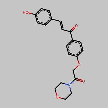 O=C(C=Cc1ccc(O)cc1)c1ccc(OCC(=O)N2CCOCC2)cc1